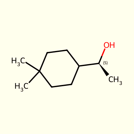 C[C@H](O)C1CCC(C)(C)CC1